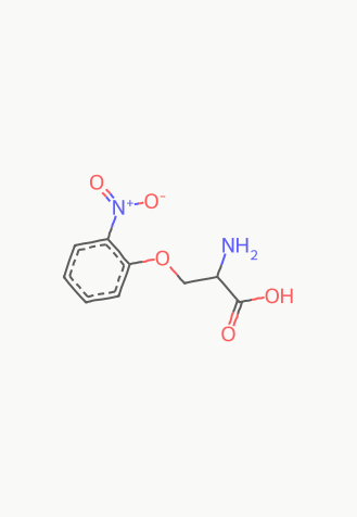 NC(COc1ccccc1[N+](=O)[O-])C(=O)O